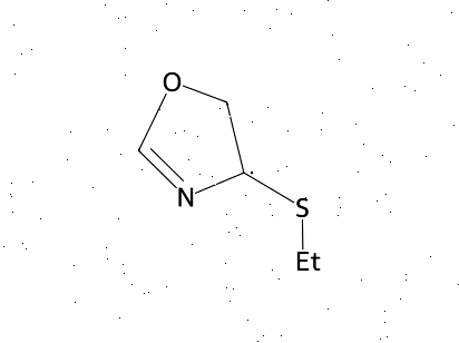 CCS[C]1COC=N1